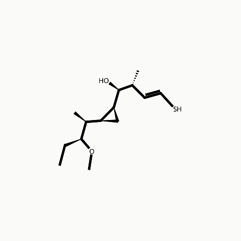 CC[C@H](OC)[C@@H](C)[C@@H]1C[C@@H]1[C@@H](O)[C@H](C)/C=C/S